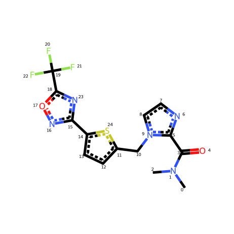 CN(C)C(=O)c1nccn1Cc1ccc(-c2noc(C(F)(F)F)n2)s1